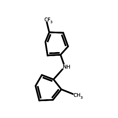 Cc1ccccc1Nc1ccc(C(F)(F)F)cc1